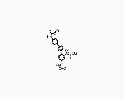 CC(C)OC(=O)Nc1ccc(-c2ncc(-c3ccc(CNC=O)cc3[S+]([O-])NC(C)(C)C)s2)cc1